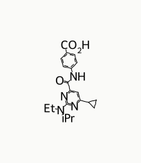 CCN(c1nc(C(=O)Nc2ccc(C(=O)O)cc2)cc(C2CC2)n1)C(C)C